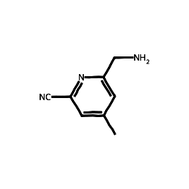 Cc1cc(C#N)nc(CN)c1